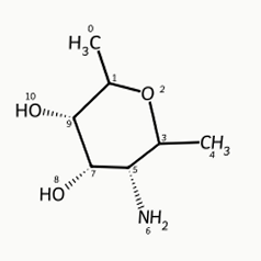 CC1OC(C)[C@H](N)[C@H](O)[C@@H]1O